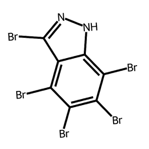 Brc1c(Br)c(Br)c2c(Br)n[nH]c2c1Br